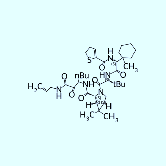 C=CCNC(=O)C(=O)C(CCCC)NC(=O)[C@@H]1[C@@H]2[C@H](CN1C(=O)[C@@H](NC(=O)[C@@H](NC(=O)C1=CCCS1)C1(C)CCCCC1)C(C)(C)C)C2(C)C